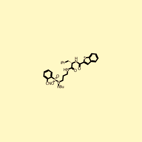 CCCCN(CCCNC(=O)[C@H](CC(C)C)NC(=O)c1cc2ccccc2s1)S(=O)(=O)c1ccccc1C#N